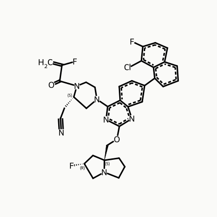 C=C(F)C(=O)N1CCN(c2nc(OC[C@@]34CCCN3C[C@H](F)C4)nc3cc(-c4cccc5ccc(F)c(Cl)c45)ccc23)C[C@@H]1CC#N